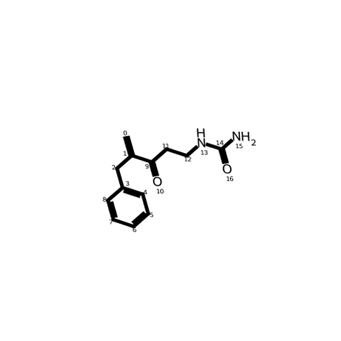 C=C(Cc1ccccc1)C(=O)CCNC(N)=O